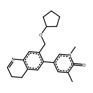 Cc1cc(-c2cc3c(cc2COC2CCCC2)N=CCC3)cn(C)c1=O